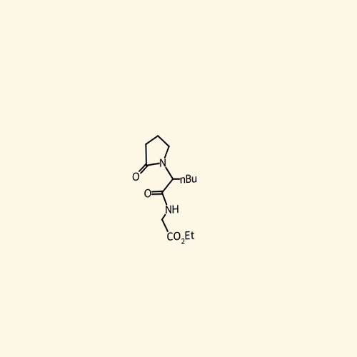 CCCCC(C(=O)NCC(=O)OCC)N1CCCC1=O